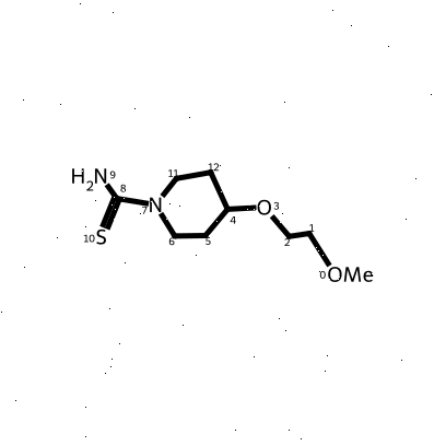 COCCOC1CCN(C(N)=S)CC1